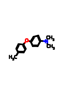 Cc1ccc(Oc2ccc(N(C)C)cc2)cc1